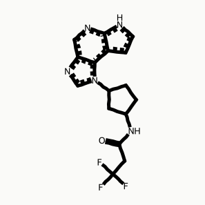 O=C(CC(F)(F)F)NC1CCC(n2cnc3cnc4[nH]ccc4c32)C1